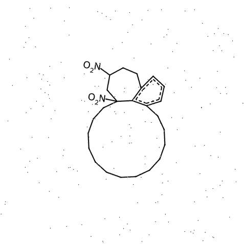 O=[N+]([O-])C1CCc2cccc3c2C([N+](=O)[O-])(CCCCCCCCCCCCC3)C1